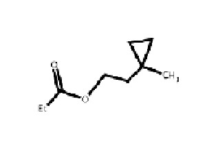 CCC(=O)OCCC1(C)CC1